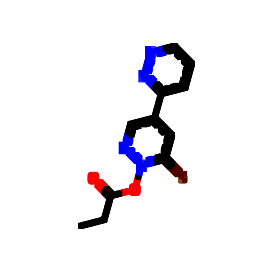 CCC(=O)On1ncc(-c2cccnn2)cc1=S